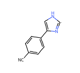 N#Cc1ccc(-c2c[nH][c]n2)cc1